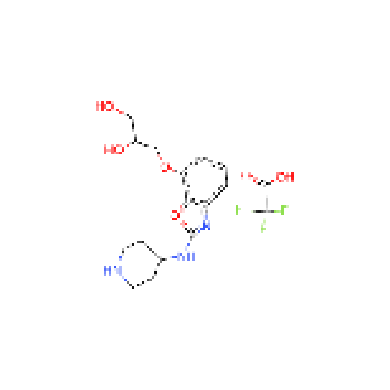 O=C(O)C(F)(F)F.OCC(O)COc1cccc2nc(NC3CCNCC3)oc12